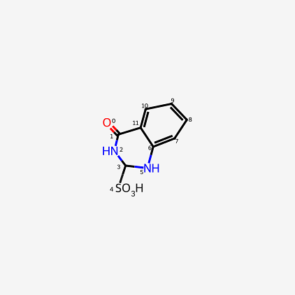 O=C1NC(S(=O)(=O)O)Nc2ccccc21